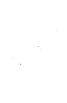 c1ccc(-c2n[nH]cc2-c2nc3ccccc3s2)cc1